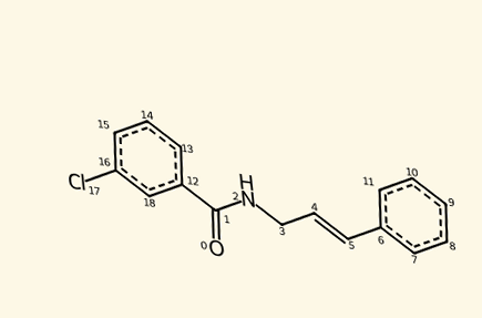 O=C(NCC=Cc1ccccc1)c1cccc(Cl)c1